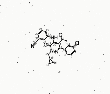 CC(=O)c1c(-c2cccc(Cl)c2)nn(CC2CC2)c(=O)c1Nc1cccc(C#N)c1